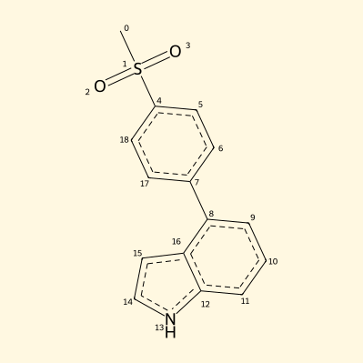 CS(=O)(=O)c1ccc(-c2cccc3[nH]ccc23)cc1